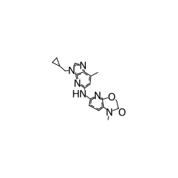 Cc1cc(Nc2ccc3c(n2)OCC(=O)N3C)nc2c1ncn2CC1CC1